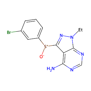 CCn1nc([S+]([O-])c2cccc(Br)c2)c2c(N)ncnc21